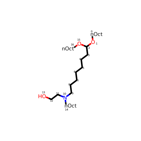 CCCCCCCCOC(CCCCCCCN(CCO)CCCCCCCC)OCCCCCCCC